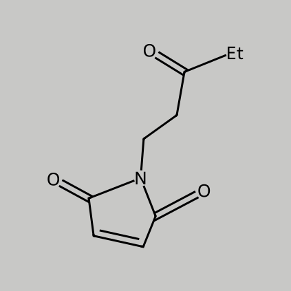 CCC(=O)CCN1C(=O)C=CC1=O